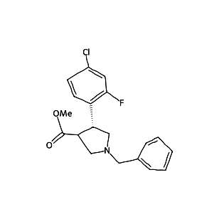 COC(=O)C1CN(Cc2ccccc2)C[C@H]1c1ccc(Cl)cc1F